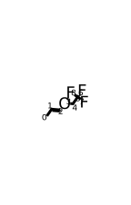 C/C=C/OCC(F)(F)F